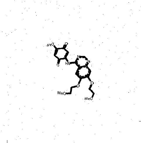 COCCOc1cc2ncnc(NC3=CC(=O)C(OC)=CC3=O)c2cc1OCCOC